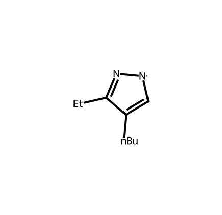 CCCCC1=C[N]N=C1CC